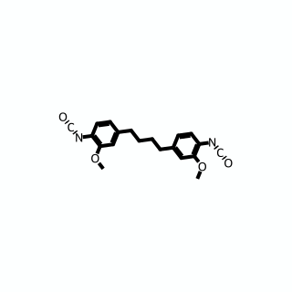 COc1cc(CCCCc2ccc(N=C=O)c(OC)c2)ccc1N=C=O